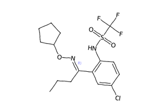 CCC/C(=N\OC1CCCC1)c1cc(Cl)ccc1NS(=O)(=O)C(F)(F)F